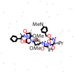 CC[C@H](C)[C@@H]([C@@H](CC(=O)N1CCC[C@H]1[C@H](OC)[C@@H](C)C(=O)N[C@H](C)[C@@H](O)c1ccccc1)OC)N(C)C(=O)[C@@H](NC(=O)[C@H](C(C)C)N(C)C(=O)OCc1ccc(NC)cc1)C(C)C